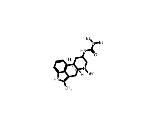 CCCN1CC(NC(=O)N(CC)CC)C[C@@H]2c3cccc4[nH]c(C)c(c34)C[C@H]21